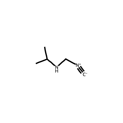 [C-]#[N+]CNC(C)C